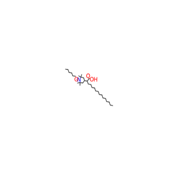 CCCCCCCCCCCCCCC(C(=O)O)C1CC(C)(C)N(OCCCCCC)C(C)(C)C1